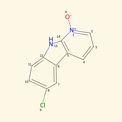 [O-][n+]1cccc2c3cc(Cl)ccc3[nH]c21